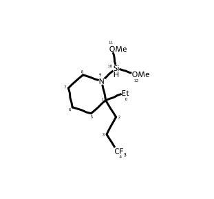 CCC1(CCC(F)(F)F)CCCCN1[SiH](OC)OC